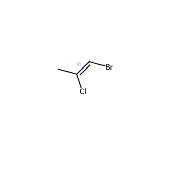 C/C(Cl)=[C]/Br